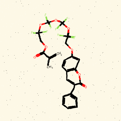 C=C(C)C(=O)OCC(F)(F)OC(F)(F)OC(F)(F)OC(F)(F)COc1ccc2cc(-c3ccccc3)c(=O)oc2c1